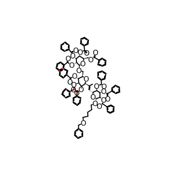 C/C(=C\[C@H]1O[C@@H](OCCCCCOCc2ccccc2)[C@H](OC(=O)c2ccccc2)[C@@H](OC(=O)c2ccccc2)[C@@H]1OC(=O)c1ccccc1)[C@@H]1O[C@H](CO[C@@H]2O[C@H](COC(=O)c3ccccc3)[C@@H](OC(=O)c3ccccc3)[C@H](OC(=O)c3ccccc3)[C@H]2OC(=O)c2ccccc2)[C@@H](OC(=O)c2ccccc2)[C@H](OC(=O)c2ccccc2)[C@H]1OC(=O)c1ccccc1